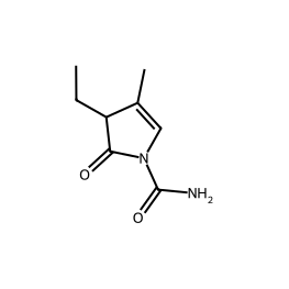 CCC1C(=O)N(C(N)=O)C=C1C